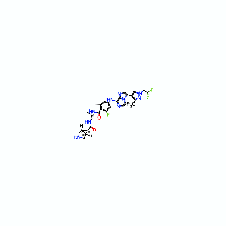 Cc1cc(Nc2nccn3c(-c4cn(CC(F)F)nc4C(F)(F)F)cnc23)cc(F)c1C(=O)N[C@H](C)CNC(=O)[C@H]1[C@@H]2CNC[C@@H]21